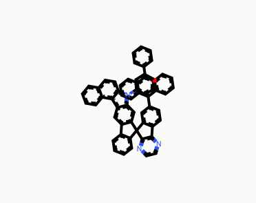 c1ccc(-c2c3ccccc3c(-c3ccc4c(c3)C3(c5ccccc5-c5cc6c7c8ccccc8ccc7n(-c7ccccc7)c6cc53)c3nccnc3-4)c3ccccc23)cc1